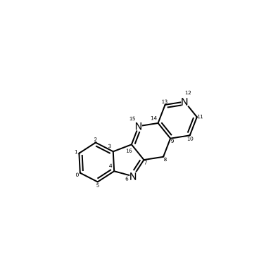 c1ccc2c(c1)N=C1Cc3ccncc3N=C12